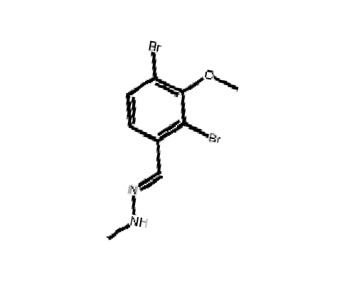 CNN=Cc1ccc(Br)c(OC)c1Br